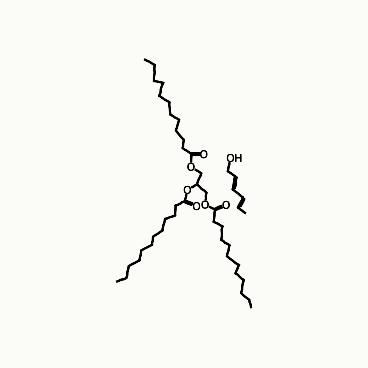 C/C=C/C=C/CO.CCCCCCCCCCCC(=O)OCC(COC(=O)CCCCCCCCCCC)OC(=O)CCCCCCCCCCC